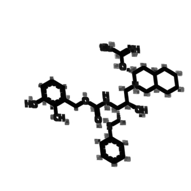 Cc1c(O)cccc1COC(=O)N[C@@H](CSc1ccccc1)[C@H](O)CN1CC2CCCCC2C[C@H]1OC(=N)C(C)(C)C